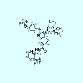 C[C@H]1C[C@@H](n2c(Nc3ccc(OC(F)(F)F)cc3)nc3cc(C(=O)NCc4ncccc4C(F)(F)F)ccc32)CC(C)(C)C1